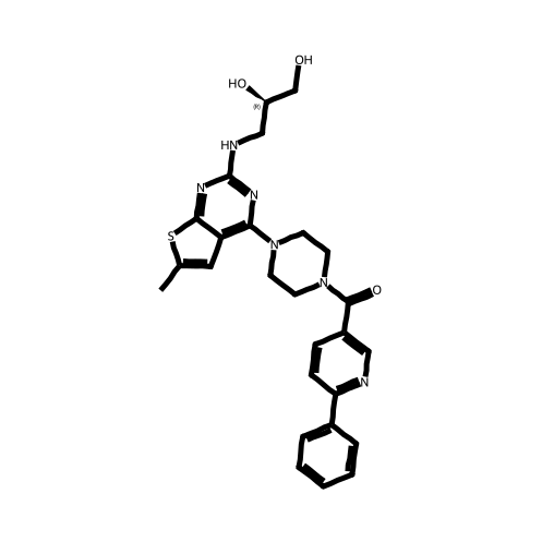 Cc1cc2c(N3CCN(C(=O)c4ccc(-c5ccccc5)nc4)CC3)nc(NC[C@@H](O)CO)nc2s1